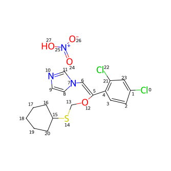 Clc1ccc(C(=Cn2ccnc2)OCSC2CCCCC2)c(Cl)c1.O=[N+]([O-])O